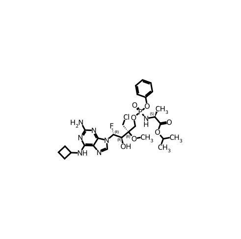 CO[C@](CCl)(COP(=O)(N[C@@H](C)C(=O)OC(C)C)Oc1ccccc1)[C@@H](O)[C@@H](F)n1cnc2c(NC3CCC3)nc(N)nc21